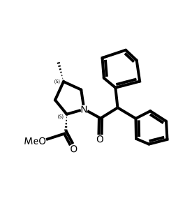 COC(=O)[C@@H]1C[C@H](C)CN1C(=O)C(c1ccccc1)c1ccccc1